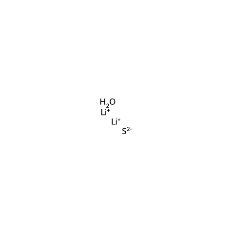 O.[Li+].[Li+].[S-2]